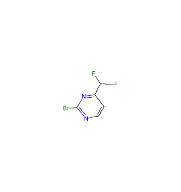 FC(F)c1[c]cnc(Br)n1